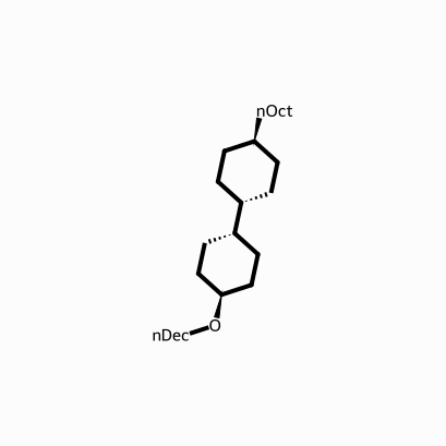 CCCCCCCCCCO[C@H]1CC[C@H]([C@H]2CC[C@H](CCCCCCCC)CC2)CC1